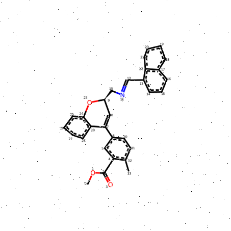 COC(=O)c1cc(C2=C[C@H](C/N=C/c3cccc4ccccc34)Oc3ccccc32)ccc1C